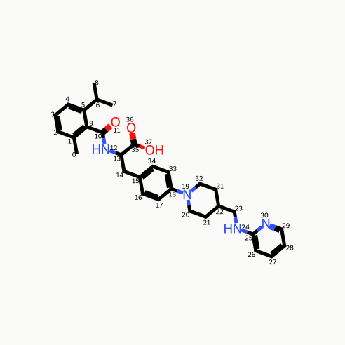 Cc1cccc(C(C)C)c1C(=O)NC(Cc1ccc(N2CCC(CNc3ccccn3)CC2)cc1)C(=O)O